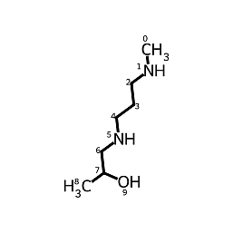 CNCCCNCC(C)O